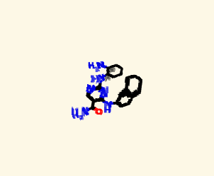 NC(=O)c1cnc(N[C@@H]2CCCC[C@@H]2N)nc1Nc1ccc2ccccc2c1